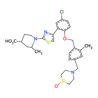 Cc1cc(CN2CC[S+]([O-])CC2)ccc1COc1ccc(Cl)cc1-c1csc(N2CCC(C(=O)O)CC2C)n1